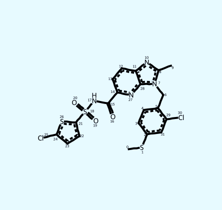 CSc1ccc(Cn2c(C)nc3ccc(C(=O)NS(=O)(=O)c4ccc(Cl)s4)nc32)c(Cl)c1